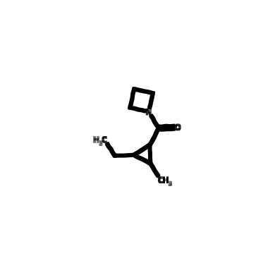 CCC1C(C)C1C(=O)N1CCC1